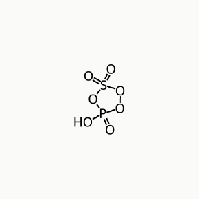 O=P1(O)OOS(=O)(=O)O1